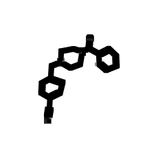 N#Cc1ccc(CN2CCN(C(=O)c3[c]cccc3)CC2)cc1